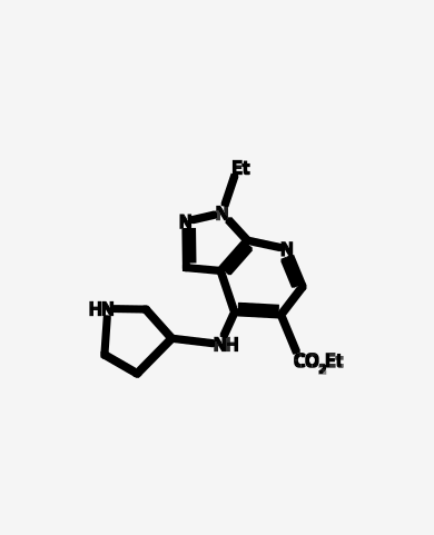 CCOC(=O)c1cnc2c(cnn2CC)c1NC1CCNC1